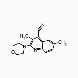 Cc1ccc2nc(N3CCOCC3)c(C)c(C#N)c2c1